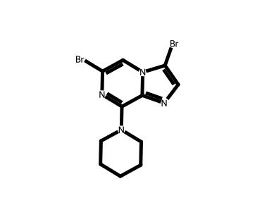 Brc1cn2c(Br)cnc2c(N2CCCCC2)n1